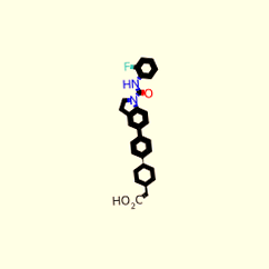 O=C(O)C[C@H]1CC[C@H](c2ccc(-c3ccc4c(c3)CCN4C(=O)Nc3ccccc3F)cc2)CC1